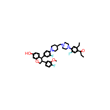 CCC(=O)c1cc(F)c(N2CCN(CC3CCN(c4ccc(C5c6ccc(O)cc6OCC5c5ccc(F)c(OC)c5)cc4F)CC3)CC2)cc1CC